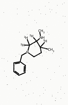 [2H]C1(C)CCN(Cc2ccccc2)C([2H])([2H])C1([2H])NC